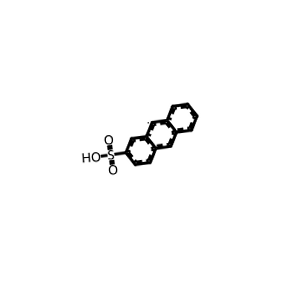 O=S(=O)(O)c1ccc2cc3ccccc3[c]c2c1